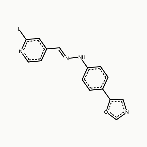 Ic1cc(C=NNc2ccc(-c3cnco3)cc2)ccn1